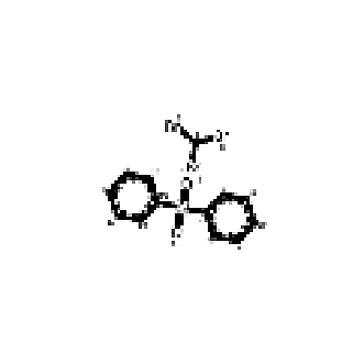 BrC(Br)Br.O=S(=O)(c1ccccc1)c1ccccc1